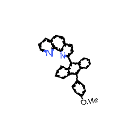 COc1ccc(-c2c3ccccc3c(-c3ccc4ccc5cccnc5c4n3)c3ccccc23)cc1